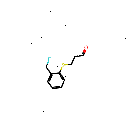 O=CCCSc1ccccc1CF